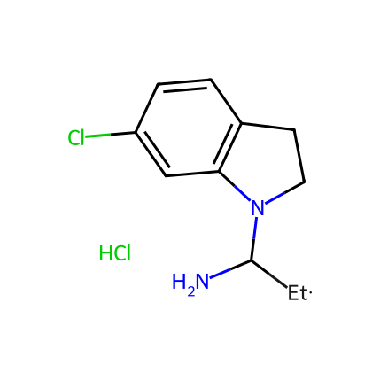 C[CH]C(N)N1CCc2ccc(Cl)cc21.Cl